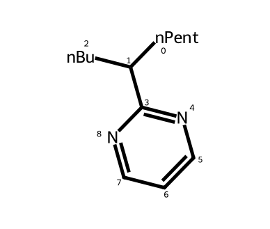 CCCCCC(CCCC)c1ncccn1